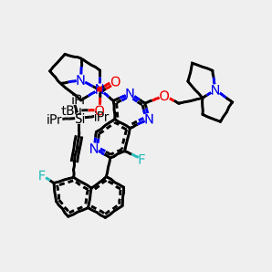 CC(C)[Si](C#Cc1c(F)ccc2cccc(-c3ncc4c(N5CC6CCC(C5)N6C(=O)OC(C)(C)C)nc(OCC56CCCN5CCC6)nc4c3F)c12)(C(C)C)C(C)C